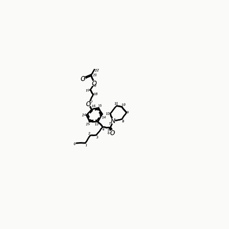 CCCCC(C(=O)N1CCCCC1)c1ccc(OCCOC(C)=O)cc1